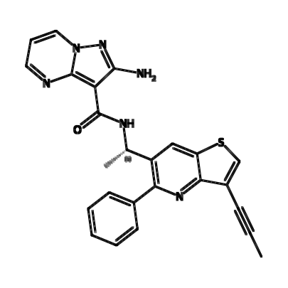 CC#Cc1csc2cc([C@H](C)NC(=O)c3c(N)nn4cccnc34)c(-c3ccccc3)nc12